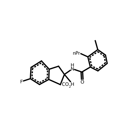 CCCc1c(C)cccc1C(=O)NC1(C(=O)O)Cc2ccc(F)cc2C1